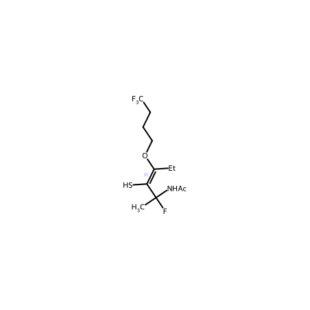 CC/C(OCCCC(F)(F)F)=C(/S)C(C)(F)NC(C)=O